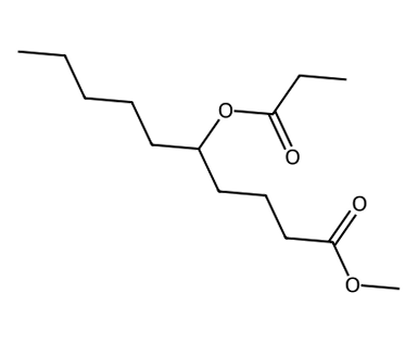 CCCCCC(CCCC(=O)OC)OC(=O)CC